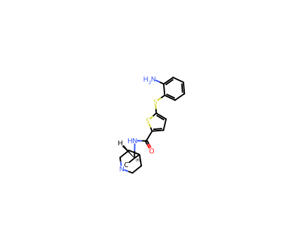 Nc1ccccc1Sc1ccc(C(=O)N[C@H]2CN3CCC2CC3)s1